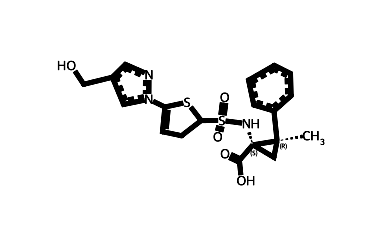 C[C@]1(c2ccccc2)C[C@@]1(NS(=O)(=O)C1CC=C(n2cc(CO)cn2)S1)C(=O)O